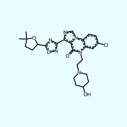 CC1(C)CCC(c2nc(-c3ncn4c3c(=O)n(CCN3CCC(O)CC3)c3cc(Cl)ccc34)no2)O1